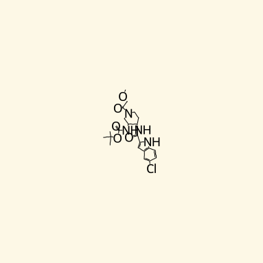 COCC(=O)N1CCC(NC(=O)c2cc3cc(Cl)ccc3[nH]2)C(NC(=O)OC(C)(C)C)C1